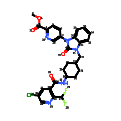 COC(=O)c1ccc(-n2c(=O)n(CC3CCC(NC(=O)c4cc(Cl)cnc4C(F)F)CC3)c3ccccc32)cn1